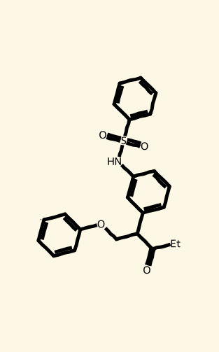 CCC(=O)C(COc1c[c]ccc1)c1cccc(NS(=O)(=O)c2ccccc2)c1